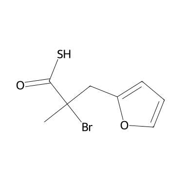 CC(Br)(Cc1ccco1)C(=O)S